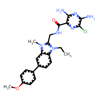 CCn1c(CNC(=O)c2nc(Cl)c(N)nc2N)[n+](C)c2cc(-c3ccc(OC)cc3)ccc21